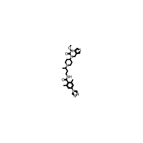 CONC(=O)N(Cc1ccsc1)C1CCN(C(C)CCNC(=O)c2c(C)cc(-n3cnnc3)cc2C)CC1